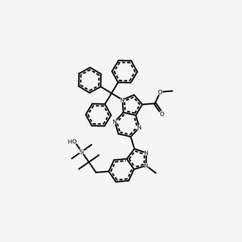 COC(=O)c1cn(C(c2ccccc2)(c2ccccc2)c2ccccc2)c2ncc(-c3nn(C)c4ccc(CC(C)(C)[Si](C)(C)O)cc34)nc12